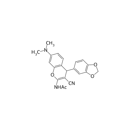 CC(=O)NC1=C(C#N)C(c2ccc3c(c2)OCO3)c2ccc(N(C)C)cc2O1